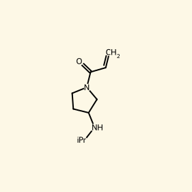 C=CC(=O)N1CCC(NC(C)C)C1